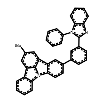 CC(C)(C)c1cc2c3ccccc3n3c4ccc(-c5cccc(-c6nc7ccccc7n6-c6ccccc6)c5)cc4c(c1)c23